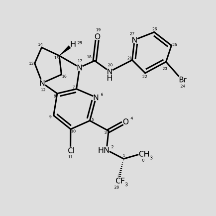 C[C@@H](NC(=O)c1nc2c(cc1Cl)N1CC[C@@H](C1)N2C(=O)Nc1cc(Br)ccn1)C(F)(F)F